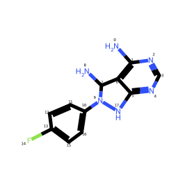 Nc1ncnc2c1C(N)N(c1ccc(F)cc1)N2